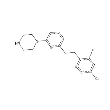 Fc1cc(Cl)cnc1CCc1cccc(N2CCNCC2)n1